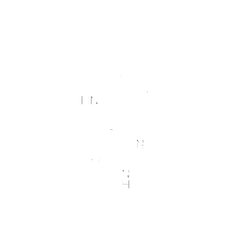 C1C2CC3(NO2)ONN13